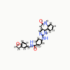 CN1C(=O)Cc2cnc(Nc3ccc(C(=O)NCc4ccc5c(c4)CCO5)cc3)nc2-c2ccccc21